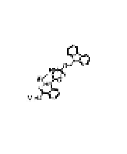 COC(=O)c1ccccc1NC(=O)[C@H](CC(C)C)NC(=O)OCC1c2ccccc2-c2ccccc21